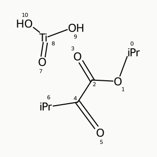 CC(C)OC(=O)C(=O)C(C)C.[O]=[Ti]([OH])[OH]